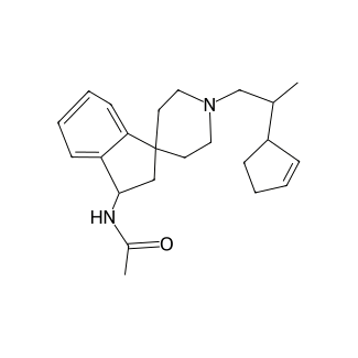 CC(=O)NC1CC2(CCN(CC(C)C3C=CCC3)CC2)c2ccccc21